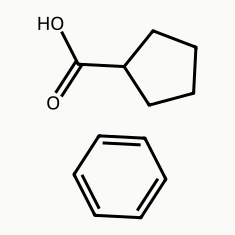 O=C(O)C1CCCC1.c1ccccc1